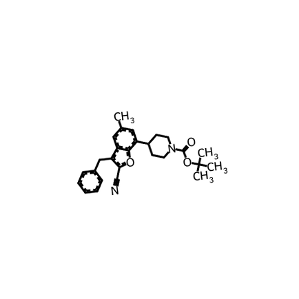 Cc1cc(C2CCN(C(=O)OC(C)(C)C)CC2)c2oc(C#N)c(Cc3ccccc3)c2c1